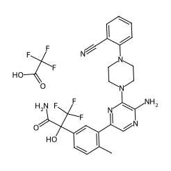 Cc1ccc(C(O)(C(N)=O)C(F)(F)F)cc1-c1cnc(N)c(N2CCN(c3ccccc3C#N)CC2)n1.O=C(O)C(F)(F)F